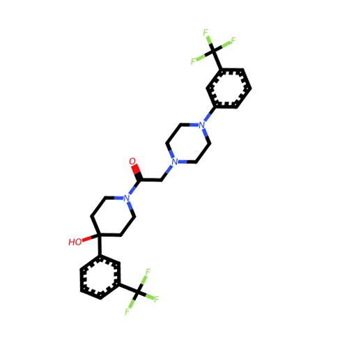 O=C(CN1CCN(c2cccc(C(F)(F)F)c2)CC1)N1CCC(O)(c2cccc(C(F)(F)F)c2)CC1